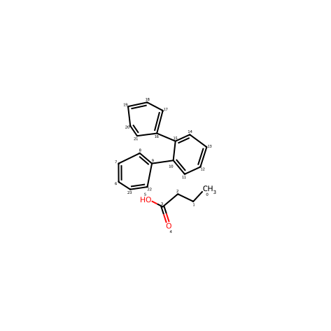 CCCC(=O)O.c1ccc(-c2ccccc2-c2ccccc2)cc1